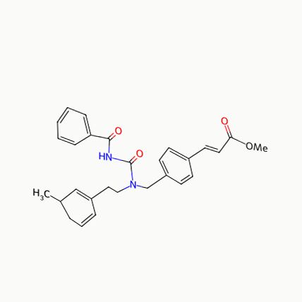 COC(=O)/C=C/c1ccc(CN(CCC2=CC(C)CC=C2)C(=O)NC(=O)c2ccccc2)cc1